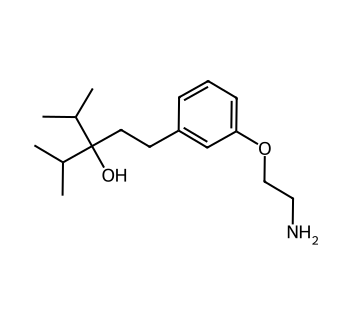 CC(C)C(O)(CCc1cccc(OCCN)c1)C(C)C